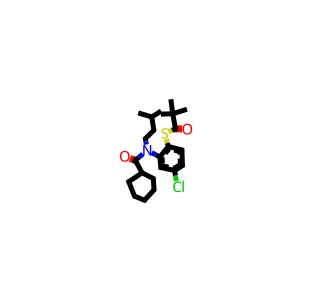 CC(C)CCN(C(=O)C1CCCCC1)c1cc(Cl)ccc1SC(=O)C(C)(C)C